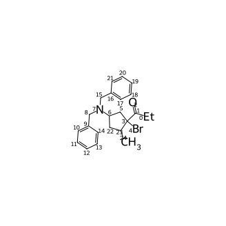 CCC(=O)C1(Br)CC(N(Cc2ccccc2)Cc2ccccc2)CC1C